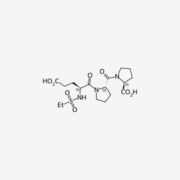 CCS(=O)(=O)N[C@@H](CCC(=O)O)C(=O)N1CCC[C@H]1C(=O)N1CCC[C@H]1C(=O)O